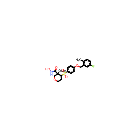 COC1(C(=O)NO)COCCC1S(=O)(=O)c1ccc(OCc2cc(F)ccc2C)cc1